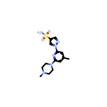 Cc1cc(N2CCN(C)CC2)nc(-n2cc(S(N)(=O)=O)cn2)c1